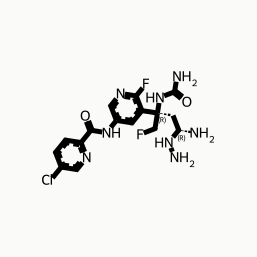 NN[C@@H](N)C[C@@](CF)(NC(N)=O)c1cc(NC(=O)c2ccc(Cl)cn2)cnc1F